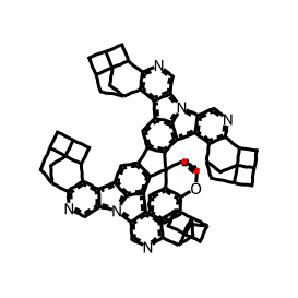 c1ccc2c(c1)Oc1ccccc1C21c2c(cc3c4c5c(ncc4n4c6cnc7c(c6c2c34)C2CC3CC4CC7C34C2)C2CC3CC4CC5CC432)-c2cc3c4c5c(ncc4n4c6cnc7c(c6c(c21)c34)C1CC2CC3CC7CC321)C1CC2CC3CC5C23C1